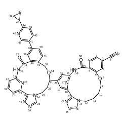 N#Cc1ccc2c(c1)OCCCCn1cnnc1-c1cc(C3CCn4cnnc4-c4cccc(n4)NC(=O)c4cc(-c5ccc(C6CC6)nc5)ccc4CO3)cc(n1)NC2=O